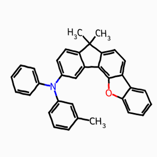 Cc1cccc(N(c2ccccc2)c2ccc3c(c2)-c2c(ccc4c2oc2ccccc24)C3(C)C)c1